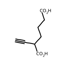 C#CC(CCCC(=O)O)C(=O)O